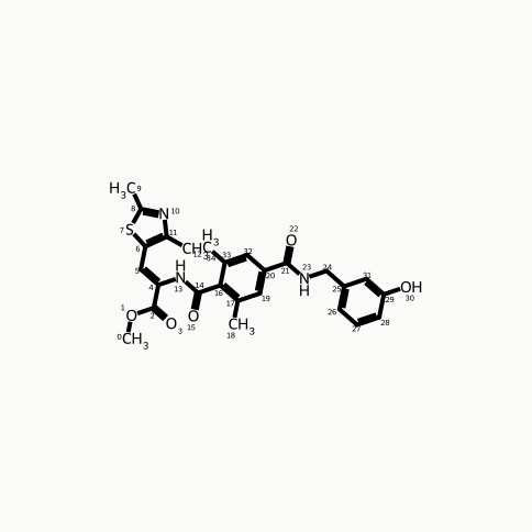 COC(=O)/C(=C/c1sc(C)nc1C)NC(=O)c1c(C)cc(C(=O)NCc2cccc(O)c2)cc1C